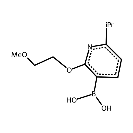 COCCOc1nc(C(C)C)ccc1B(O)O